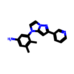 Cc1cc(N)cc(-n2ccn3nc(-c4cccnc4)cc23)c1C